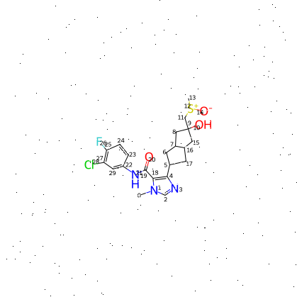 Cn1cnc(C2CC3CC(O)(C[S+](C)[O-])CC3C2)c1C(=O)Nc1ccc(F)c(Cl)c1